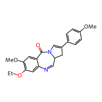 CCOc1cc2c(cc1OC)C(=O)N1C=C(c3ccc(OC)cc3)CC1C=N2